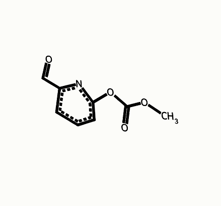 COC(=O)Oc1cccc(C=O)n1